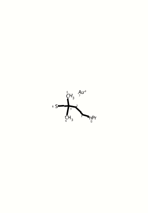 CCCCCC(C)(C)[S-].[Au+]